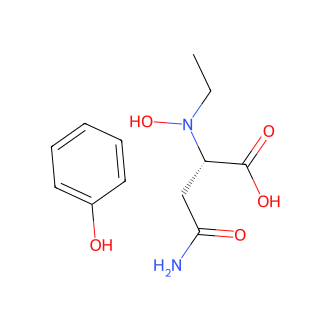 CCN(O)[C@@H](CC(N)=O)C(=O)O.Oc1ccccc1